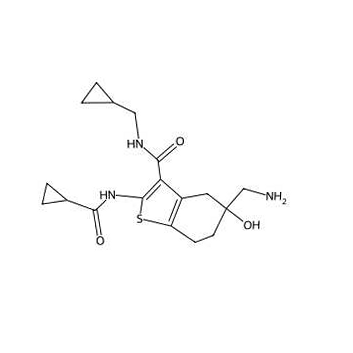 NCC1(O)CCc2sc(NC(=O)C3CC3)c(C(=O)NCC3CC3)c2C1